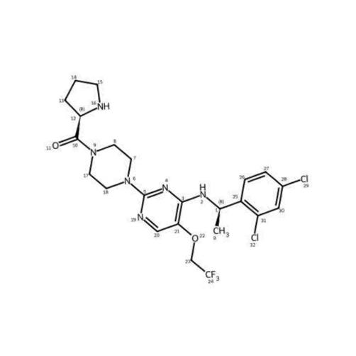 C[C@@H](Nc1nc(N2CCN(C(=O)[C@H]3CCCN3)CC2)ncc1OCC(F)(F)F)c1ccc(Cl)cc1Cl